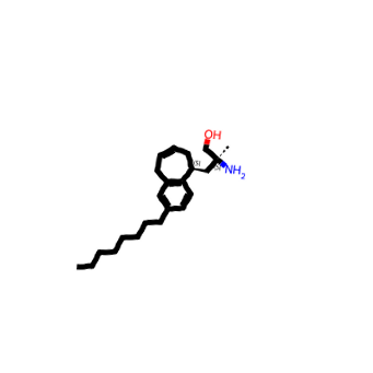 CCCCCCCCc1ccc2c(c1)CC=CC[C@H]2C[C@](C)(N)CO